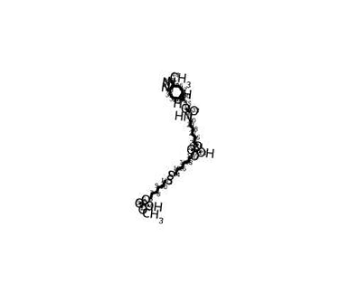 COP(=O)(O)OCCCCCCSSCCCCCCOP(=O)(O)OCCCCCCNC(=O)OC[C@@H]1[C@@H]2CCc3nnn(C)c3CC[C@@H]21